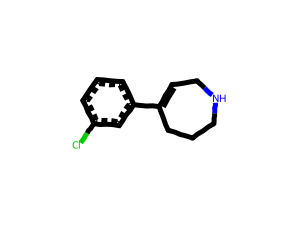 Clc1cccc(C2=CCNCCC2)c1